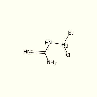 C[CH2][Hg]([Cl])[NH]C(=N)N